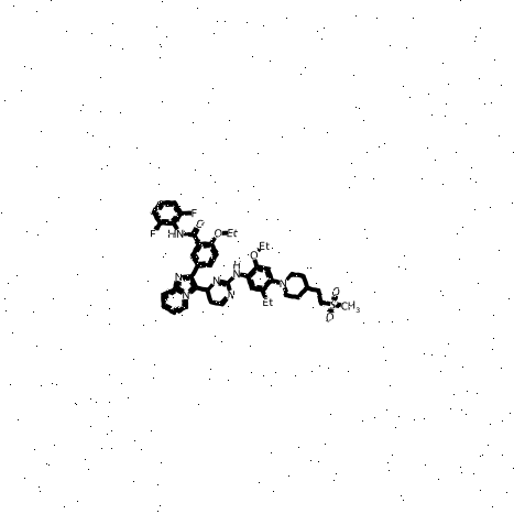 CCOc1cc(N2CCC(CCS(C)(=O)=O)CC2)c(CC)cc1NC1=NC(c2c(-c3ccc(OCC)c(C(=O)Nc4c(F)cccc4F)c3)nc3ccccn23)CC=N1